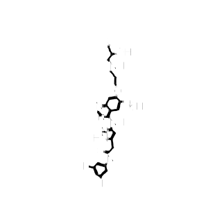 CCC(O)CNCCCOc1cc2ncnc(Nc3cc(CC(=O)Nc4cc(F)cc(F)c4)[nH]n3)c2cc1OC